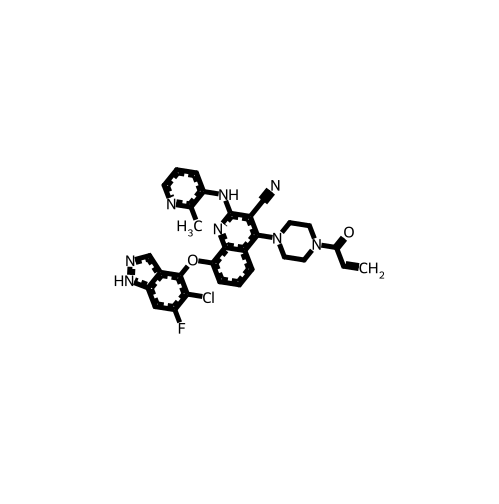 C=CC(=O)N1CCN(c2c(C#N)c(Nc3cccnc3C)nc3c(Oc4c(Cl)c(F)cc5[nH]ncc45)cccc23)CC1